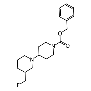 O=C(OCc1ccccc1)N1CCC(N2CCCC(CF)C2)CC1